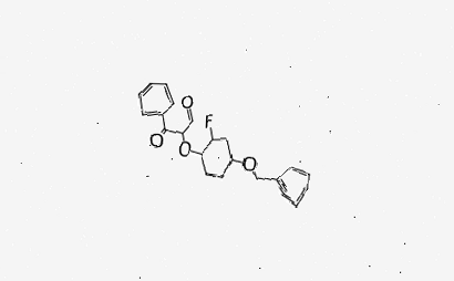 O=CC(OC1CCC(OCc2ccccc2)CC1F)C(=O)c1ccccc1